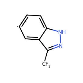 FC(F)(F)c1n[nH]c2cc[c]cc12